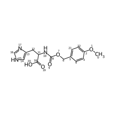 COc1ccc(COC(=O)NC(Cc2c[nH]cn2)C(=O)O)cc1